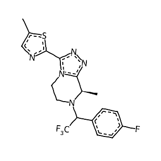 Cc1cnc(-c2nnc3n2CCN(C(c2ccc(F)cc2)C(F)(F)F)[C@@H]3C)s1